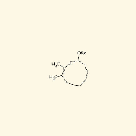 CC(=O)OC1CCCCCC/C(C)=C(/C)C1